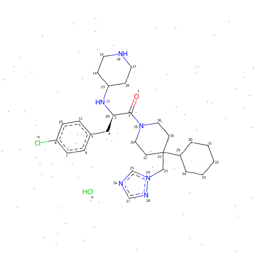 Cl.O=C([C@@H](Cc1ccc(Cl)cc1)NC1CCNCC1)N1CCC(Cn2cncn2)(C2CCCCC2)CC1